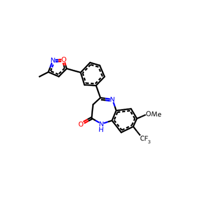 COc1cc2c(cc1C(F)(F)F)NC(=O)CC(c1cccc(-c3cc(C)no3)c1)=N2